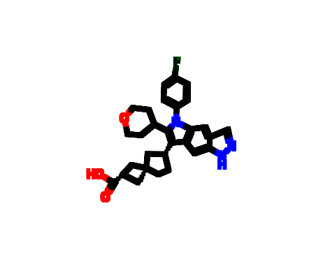 O=C(O)[C@H]1C[C@]2(CC[C@@H](c3c(C4CCOCC4)n(-c4ccc(F)cc4)c4cc5cn[nH]c5cc34)C2)C1